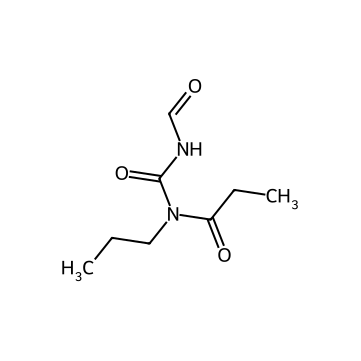 CCCN(C(=O)CC)C(=O)NC=O